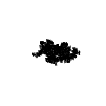 CC(C)C[C@H](NC(=O)[C@@H]1CCCN1C(=O)[C@@H](NC(=O)[C@@H]1CCCN1C(=O)[C@H](CCC(=O)O)NC(=O)[C@H](C)NC(=O)[C@H](C)NC(=O)[C@@H]1CCCN1)C(C)C)C(=O)N[C@H](C(=O)N[C@@H](CCCCN)C(=O)N[C@@H](CCC(N)=O)C(=O)N[C@@H](CC(N)=O)C(=O)O)C(C)C